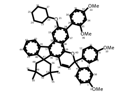 COc1ccc(C2(c3ccc(OC)cc3)C=Cc3c4c(c5cc(OC6CCCCC6)c(-c6ccc(OC)cc6OC)cc5c3O2)-c2ccccc2C42CC(C)(C)CC(C)(C)C2)cc1